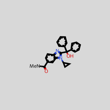 CNC(=O)c1ccc2nc(C(O)(c3ccccc3)c3ccccc3)n(C3CC3)c2c1